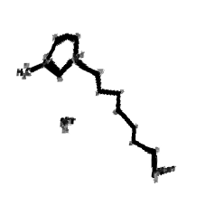 CCCCCCCCCCCCCCCCn1cc[n+](C)c1.[Mn]